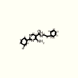 Nc1nc(-c2cccc(F)c2)ncc1C(=O)NCCc1ccccc1